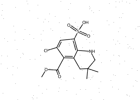 COC(=O)c1c(Cl)cc(S(=O)(=O)O)c2c1CC(C)(C)CN2